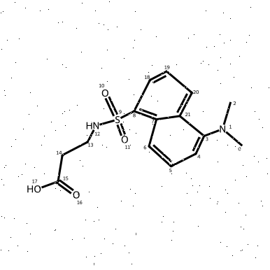 CN(C)c1cccc2c(S(=O)(=O)NCCC(=O)O)cccc12